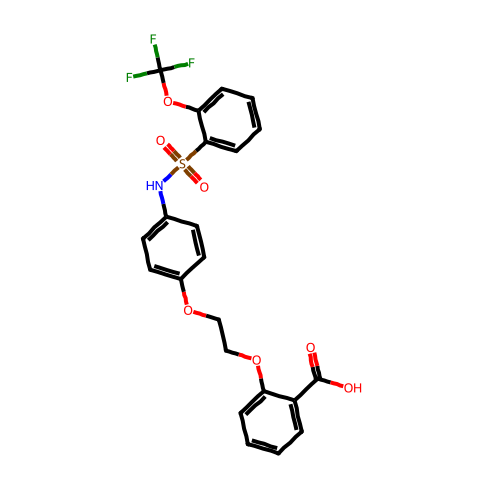 O=C(O)c1ccccc1OCCOc1ccc(NS(=O)(=O)c2ccccc2OC(F)(F)F)cc1